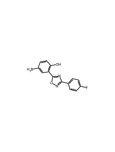 Bc1ccc(O)c(-c2nc(-c3ccc(F)cc3)no2)c1